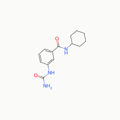 NC(=O)Nc1cccc(C(=O)NC2CCCCC2)c1